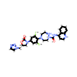 O=C(Nc1ccnc2ccccc12)N1CCN(c2c(F)cc(N3C[C@H](Cn4ccnn4)OC3=O)cc2F)CCN1